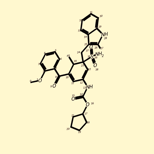 COc1ccccc1C(=O)C1=CC(NC(=O)OC2CCCC2)=CC(Cc2c(C)[nH]c3ccccc23)(S(N)(=O)=O)C1C